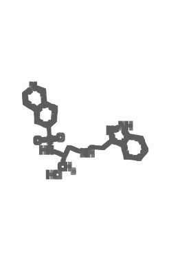 C[C@H](CNCCc1n[nH]c2ccccc12)NS(=O)(=O)c1ccc2cnccc2c1.Cl